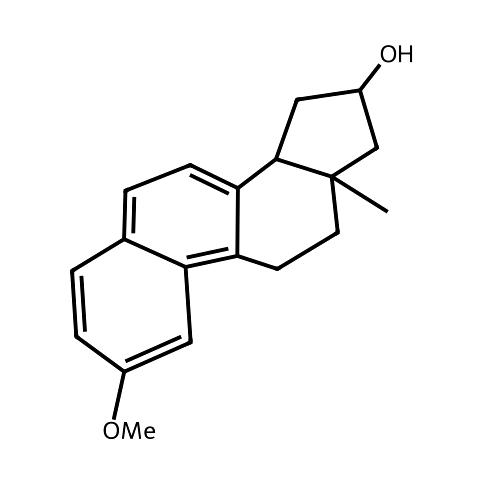 COc1ccc2ccc3c(c2c1)CCC1(C)CC(O)CC31